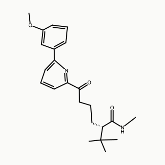 CNC(=O)[C@@H](CCCC(=O)c1cccc(-c2cccc(OC)c2)n1)C(C)(C)C